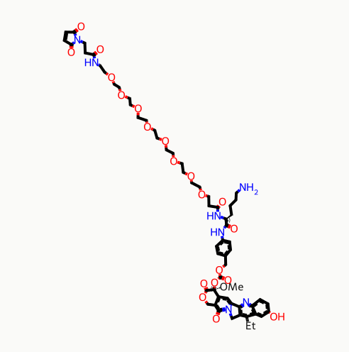 CCc1c2c(nc3ccc(O)cc13)-c1cc3c(c(=O)n1C2)COC(=O)[C@@]3(OC)OC(=O)OCc1ccc(NC(=O)[C@H](CCCCN)NC(=O)CCOCCOCCOCCOCCOCCOCCOCCOCCNC(=O)CCN2C(=O)C=CC2=O)cc1